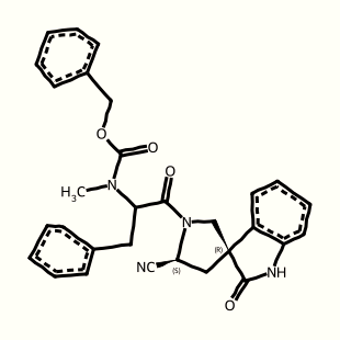 CN(C(=O)OCc1ccccc1)C(Cc1ccccc1)C(=O)N1C[C@]2(C[C@H]1C#N)C(=O)Nc1ccccc12